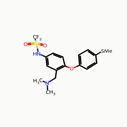 CSc1ccc(Oc2ccc(NS(=O)(=O)C(F)(F)F)cc2CN(C)C)cc1